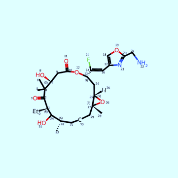 CC[C@H]1C(=O)C(C)(C)[C@@H](O)CC(=O)O[C@H](C(F)=Cc2coc(CN)n2)C[C@@H]2O[C@]2(C)CCC[C@H](C)C1O